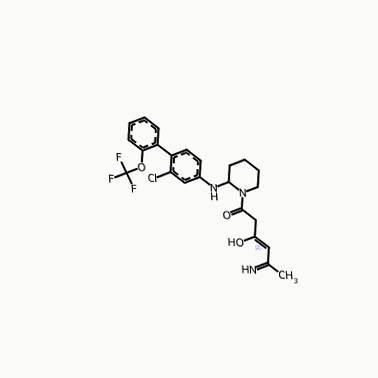 CC(=N)/C=C(\O)CC(=O)N1CCCCC1Nc1ccc(-c2ccccc2OC(F)(F)F)c(Cl)c1